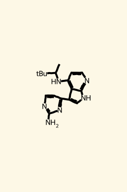 CC(Nc1ccnc2[nH]cc(-c3ccnc(N)n3)c12)C(C)(C)C